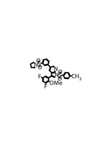 COc1c(F)cc(F)cc1-c1cn(S(=O)(=O)c2ccc(C)cc2)c2ncc(-c3cccc(S(=O)(=O)N4CCCC4)c3)cc12